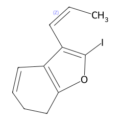 C/C=C\c1c(I)oc2c1C=CCC2